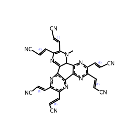 CN1C(/C=C/C#N)=C(/C=C/C#N)N=C2c3nc(/C=C/C#N)c(/C=C/C#N)nc3-c3nc(/C=C/C#N)c(/C=C/C#N)nc3C21